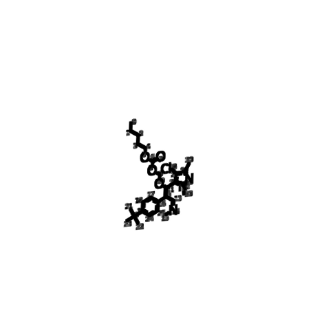 CCCCCOC(=O)OCO/C(=C(/C=N\C)c1ccc(C(C)(C)C)cc1)c1c(Cl)c(C)nn1C